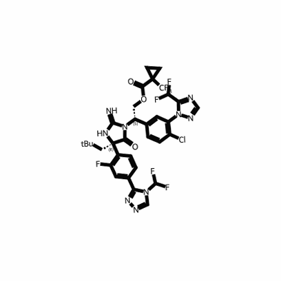 CC(C)(C)C[C@]1(c2ccc(-c3nncn3C(F)F)cc2F)NC(=N)N([C@H](COC(=O)C2(C(F)(F)F)CC2)c2ccc(Cl)c(-n3ncnc3C(F)F)c2)C1=O